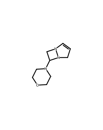 [CH]1COCCN1C1CN2C=CCN12